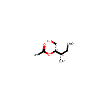 CC(=O)O[C@@H](CC=O)[C@@H](CO)OC(=O)C(C)C